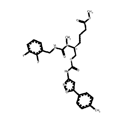 COC(=O)CCC[C@@H](COC(=O)Nc1cc(-c2ccc(C)cc2)on1)N(C)C(=O)NCc1cccc(F)c1F